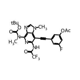 CC(=O)Oc1cc(F)cc(C#Cc2c(NC(=O)C(F)(F)F)nc(N(C)C(=O)OC(C)(C)C)c3ncn(C)c23)c1